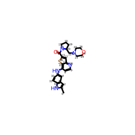 Cc1cc2cc(Nc3ccnc4cc(C(=O)N5CCCC5CN5CCOCC5)sc34)ccc2[nH]1